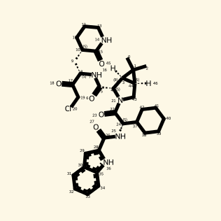 CC1(C)[C@@H]2[C@@H](C(=O)N[C@@H](C[C@@H]3CCCNC3=O)C(=O)CCl)N(C(=O)[C@@H](NC(=O)c3cc4ccccc4[nH]3)C3CCCCC3)C[C@@H]21